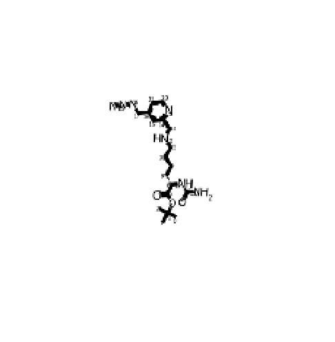 CC(C)(C)OC(=O)[C@H](CCCCNCc1cc(CN=[N+]=[N-])ccn1)NC(N)=O